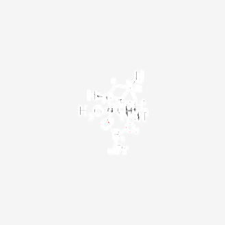 CC(C)B1O[C@@H]2C[C@H]3C[C@H](C3(C)C)[C@]2(C)O1